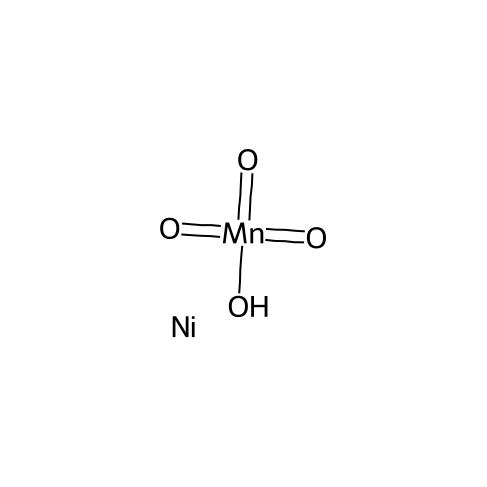 [Ni].[O]=[Mn](=[O])(=[O])[OH]